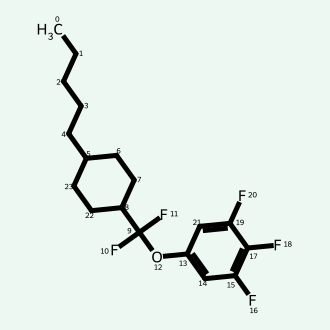 CCCCCC1CCC(C(F)(F)Oc2cc(F)c(F)c(F)c2)CC1